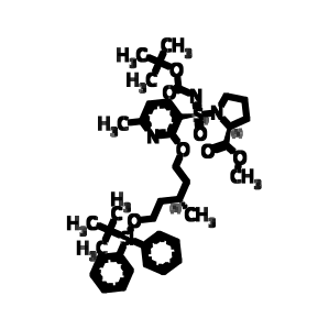 COC(=O)[C@@H]1CCCN1[S@](=O)(=NC(=O)OC(C)(C)C)c1ccc(C)nc1OCC[C@H](C)CCO[Si](c1ccccc1)(c1ccccc1)C(C)(C)C